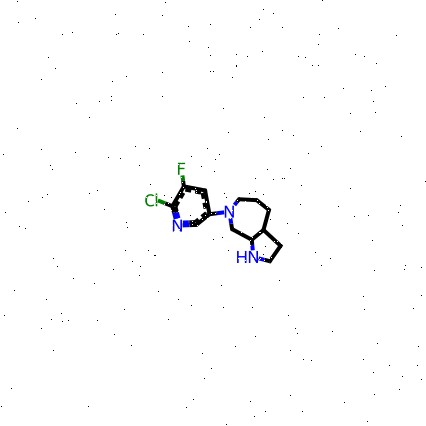 Fc1cc(N2CCCC3CCNC3C2)cnc1Cl